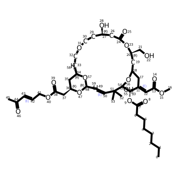 CCCCCCCC(=O)O[C@H]1/C(=C/C(=O)OC)CC2C[C@H](CO)OC(=O)C[C@H](O)CCOCC[C@@H]3C[C@H](CC(=O)OC/C=C/C(C)=O)O[C@H](/C=C/C(C)(C)[C@]1(O)O2)O3